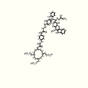 CC(C)NC(=O)[C@H](Cc1c[nH]c2ccccc12)NC(=O)[C@H](CCC(N)=O)NC(=O)[C@@H](Cc1ccccc1)NC(=O)COCC(=O)Nc1ccc(CNC(=O)CN2CCN(CC(=O)O)CCN(CC(=O)O)CCN(CC(=O)O)CC2)cc1